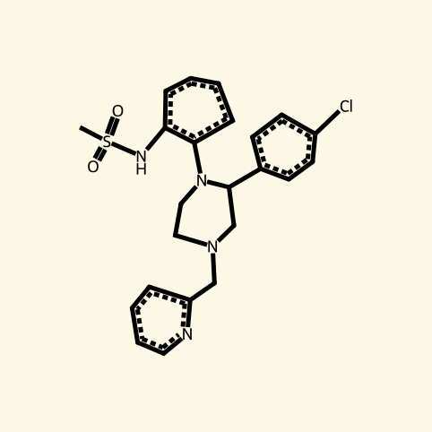 CS(=O)(=O)Nc1ccccc1N1CCN(Cc2ccccn2)CC1c1ccc(Cl)cc1